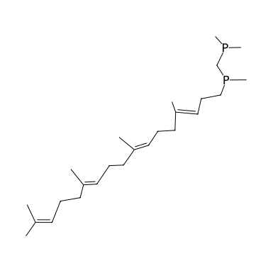 CC(C)=CCC/C(C)=C/CC/C(C)=C/CC/C(C)=C/CCP(C)CP(C)C